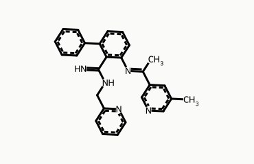 C/C(=N\c1cccc(-c2ccccc2)c1C(=N)NCc1ccccn1)c1cncc(C)c1